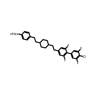 CCCCCCc1ccc(CCC2CCC(CCc3cc(F)c(-c4cc(F)c(Cl)c(F)c4)c(F)c3)CC2)cc1